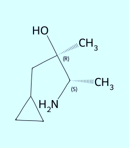 C[C@H](N)[C@](C)(O)CC1CC1